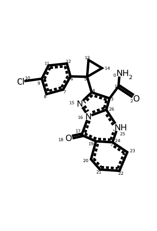 NC(=O)c1c(C2(c3ccc(Cl)cc3)CC2)nn2c(=O)c3ccccc3[nH]c12